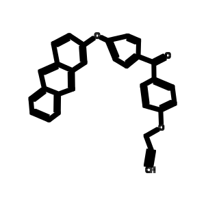 C#CCOc1ccc(C(=O)c2ccc(Oc3ccc4cc5ccccc5cc4c3)cc2)cc1